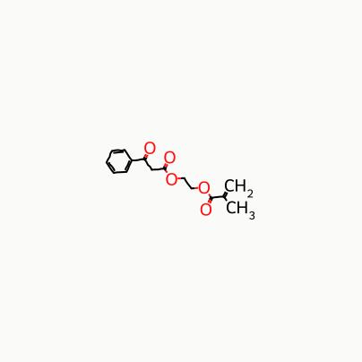 C=C(C)C(=O)OCCOC(=O)CC(=O)c1ccccc1